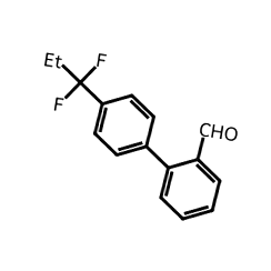 CCC(F)(F)c1ccc(-c2ccccc2C=O)cc1